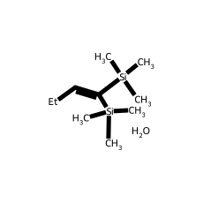 CCC=C([Si](C)(C)C)[Si](C)(C)C.O